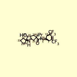 CC(C)[C@]1(C(=O)NCc2cc(C(F)(F)F)cc(C(F)(F)F)c2)CC[C@@H](NC2(CO)CCCC2)C1